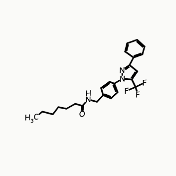 CCCCCCC(=O)NCc1ccc(-n2nc(-c3ccccc3)cc2C(F)(F)F)cc1